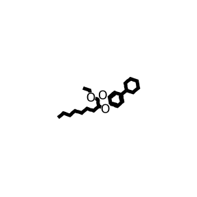 CCCCCCCC(Oc1ccc(C2CCCCC2)cc1)C(=O)OCC